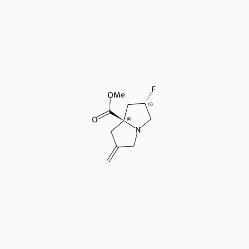 C=C1CN2C[C@@H](F)C[C@@]2(C(=O)OC)C1